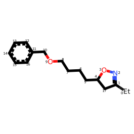 [CH2]CC1=NOC(CCCCOCc2ccccc2)C1